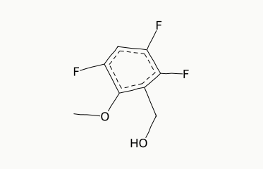 COc1c(F)cc(F)c(F)c1CO